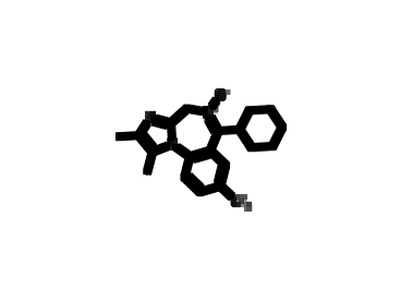 Cc1nc2n(c1C)-c1ccc(C(F)(F)F)cc1C(C1CCCCC1)=[N+]([O-])C2